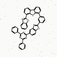 c1ccc(-c2nc(-c3ccccc3)nc(-c3ccc4oc(-c5cccc(-c6cccc7c6sc6c(-c8nc9ccccc9o8)cccc67)c5)nc4c3)n2)cc1